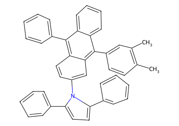 Cc1ccc(-c2c3ccccc3c(-c3ccccc3)c3ccc(-n4c(-c5ccccc5)ccc4-c4ccccc4)cc23)cc1C